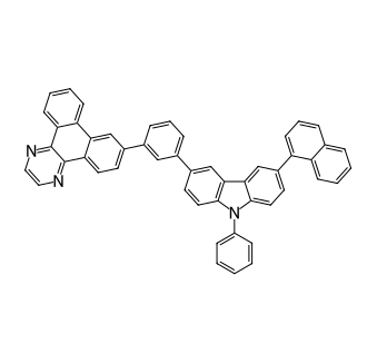 c1ccc(-n2c3ccc(-c4cccc(-c5ccc6c(c5)c5ccccc5c5nccnc65)c4)cc3c3cc(-c4cccc5ccccc45)ccc32)cc1